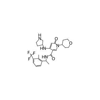 Cc1c(C(C)NC(=O)c2cn(C3CCOCC3)c(=O)cc2NC2CCNC2)cccc1C(F)(F)F